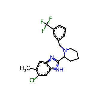 Cc1cc2nc(C3CCCCN3Cc3cccc(C(F)(F)F)c3)[nH]c2cc1Cl